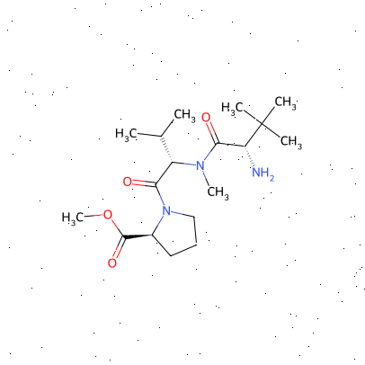 COC(=O)[C@@H]1CCCN1C(=O)[C@H](C(C)C)N(C)C(=O)[C@@H](N)C(C)(C)C